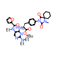 CCN(CC)c1ncc(N(CC)C(=O)c2ccco2)c(N[C@@H](Cc2ccc(N3C(=O)N(C)C4(CCCCC4)C3=O)cc2)C(=O)OC(C)(C)C)n1